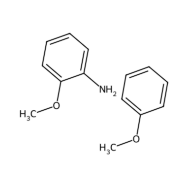 COc1ccccc1.COc1ccccc1N